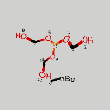 CCCCC.OCOP(OCO)OCO